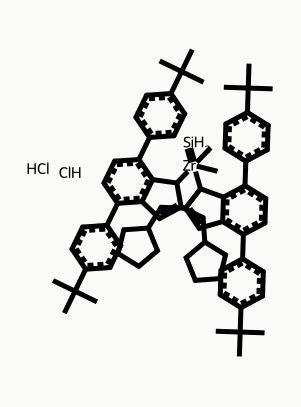 CC(C)(C)c1ccc(-c2ccc(-c3ccc(C(C)(C)C)cc3)c3c2C=C(CC2CCCC2)[CH]3[Zr]([CH3])([CH3])(=[SiH2])[CH]2C(CC3CCCC3)=Cc3c(-c4ccc(C(C)(C)C)cc4)ccc(-c4ccc(C(C)(C)C)cc4)c32)cc1.Cl.Cl